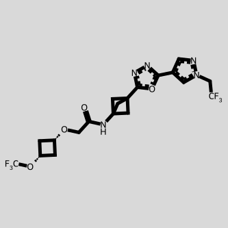 O=C(CO[C@H]1C[C@@H](OC(F)(F)F)C1)NC12CC(c3nnc(-c4cnn(CC(F)(F)F)c4)o3)(C1)C2